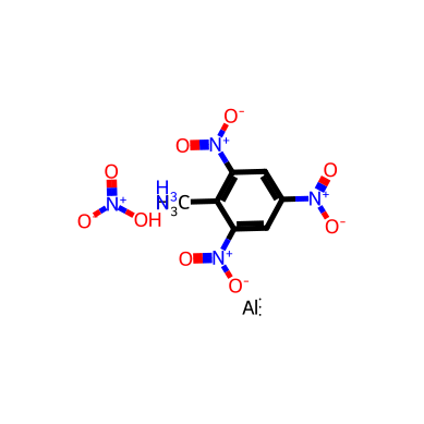 Cc1c([N+](=O)[O-])cc([N+](=O)[O-])cc1[N+](=O)[O-].N.O=[N+]([O-])O.[Al]